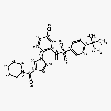 CC(C)(C)c1ccc(S(=O)(=O)Nc2cc(Cl)cnc2-n2cc(C(=O)N3CCCCC3)cn2)cc1